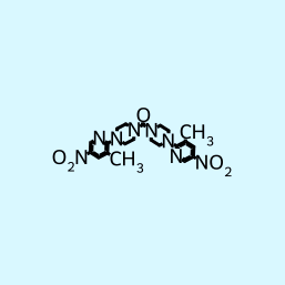 Cc1cc([N+](=O)[O-])cnc1N1CCN(C(=O)N2CCN(c3ncc([N+](=O)[O-])cc3C)CC2)CC1